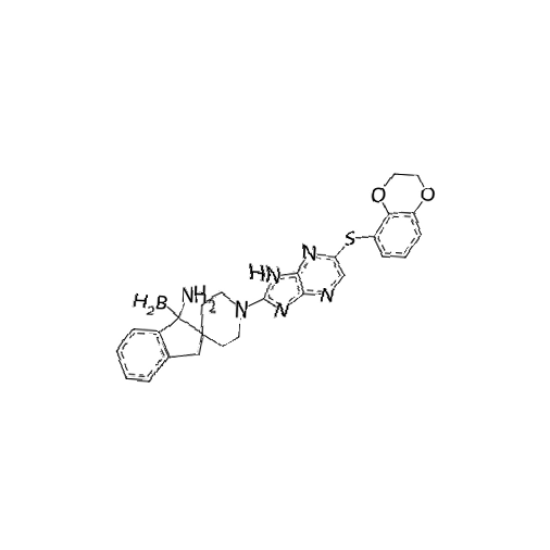 BC1(N)c2ccccc2CC12CCN(c1nc3ncc(Sc4cccc5c4OCCO5)nc3[nH]1)CC2